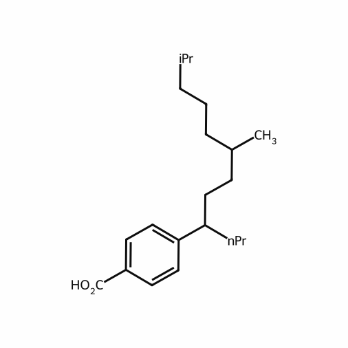 CCCC(CCC(C)CCCC(C)C)c1ccc(C(=O)O)cc1